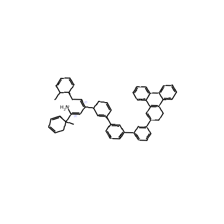 CC1C=CC=CC1C/C=C(\C=C(/N)C1(C)C=CC=CC1)C1C=C(c2cccc(-c3cccc(C4=Cc5c(c6ccccc6c6ccccc56)CC4)c3)c2)C=CC1